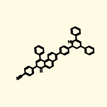 N#Cc1ccc(C2C=C(c3ccccc3)c3c(ccc4cc(-c5ccc(C6CC(c7ccccc7)C=C(c7ccccc7)N6)cc5)ccc34)N2)cc1